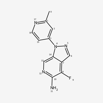 Cc1cc(-n2ncc3c(F)c(N)ncc32)ccn1